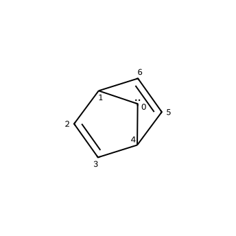 [C]1C2C=CC1C=C2